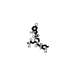 CNC(=O)CC1CN(S(=O)(=O)c2cc3cc(Cl)ccc3[nH]2)CCN1C(=O)c1nc2c(s1)CNC(C)C2